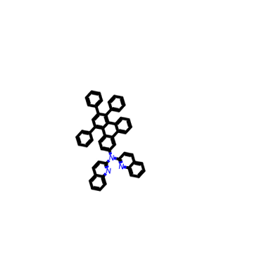 c1ccc(-c2cc(-c3ccccc3)c3c4ccc(N(c5ccc6ccccc6n5)c5ccc6ccccc6n5)cc4c4ccccc4c3c2-c2ccccc2)cc1